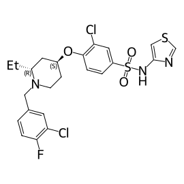 CC[C@@H]1C[C@@H](Oc2ccc(S(=O)(=O)Nc3cscn3)cc2Cl)CCN1Cc1ccc(F)c(Cl)c1